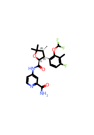 Cc1c(F)ccc([C@@H]2[C@@H](C(=O)Nc3ccnc(C(N)=O)c3)OC(C)(C)[C@@H]2C)c1OC(F)F